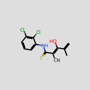 C=C(C)C(O)=C(C#N)C(=S)Nc1cccc(Cl)c1Cl